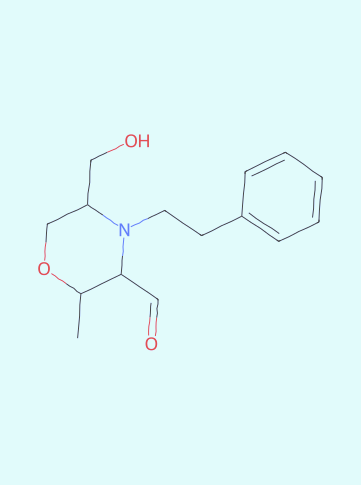 CC1OCC(CO)N(CCc2ccccc2)C1C=O